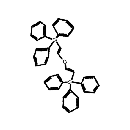 C(=C[Si](c1ccccc1)(c1ccccc1)c1ccccc1)OC=C[Si](c1ccccc1)(c1ccccc1)c1ccccc1